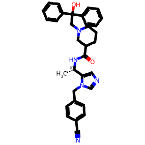 C[C@H](NC(=O)C1CCCN(CC(O)(c2ccccc2)c2ccccc2)C1)c1cncn1Cc1ccc(C#N)cc1